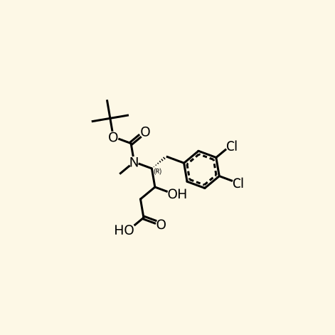 CN(C(=O)OC(C)(C)C)[C@H](Cc1ccc(Cl)c(Cl)c1)C(O)CC(=O)O